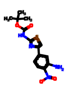 CC(C)(C)OC(=O)Nc1nc(-c2ccc([N+](=O)[O-])c(N)c2)cs1